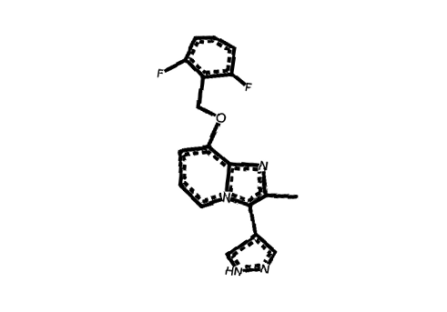 Cc1nc2c(OCc3c(F)cccc3F)cccn2c1-c1cn[nH]c1